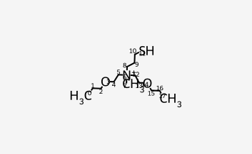 CCCOCC[N+](C)(CCCS)CCOCCC